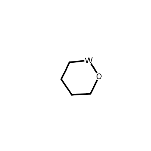 C1C[CH2][W][O]C1